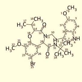 COc1ccc2[nH]cc(CCN3C(=O)C(C(C)C)Oc4c(OC)cc(Br)cc4C3C(=O)NC(C)(C)C)c2c1